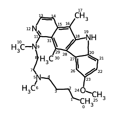 CCCCCN(C)CCN(C)c1nccc2c(C)c3[nH]c4ccc(OC)cc4c3c(C)c12